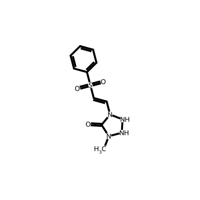 CN1NNN(/C=C/S(=O)(=O)c2ccccc2)C1=O